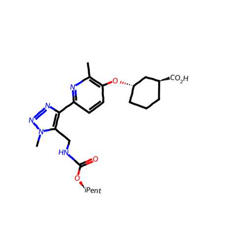 CCC[C@H](C)OC(=O)NCc1c(-c2ccc(O[C@H]3CCC[C@H](C(=O)O)C3)c(C)n2)nnn1C